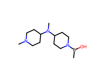 CB(O)N1CCC(N(C)C2CCN(C)CC2)CC1